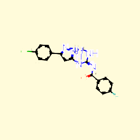 CCC(C)N/C(=N/C(=O)c1ccc(F)cc1)Nc1cc(-c2ccc(Cl)cc2)n[nH]1